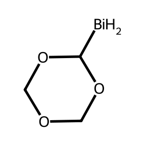 [BiH2][CH]1OCOCO1